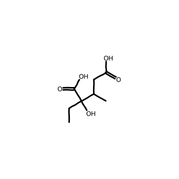 CCC(O)(C(=O)O)C(C)CC(=O)O